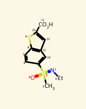 CCN=S(C)(=O)c1ccc2sc(C(=O)O)cc2c1